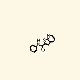 O=C(Nc1ccccc1)c1cc2cccnc2s1